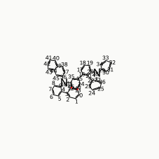 c1ccc(-c2ccccc2N(c2cccc(-c3cccc4c3c3ccccc3n4-c3ccccc3)c2)c2ccc3ccccc3c2)cc1